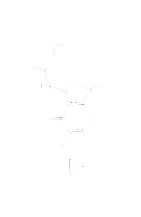 Cn1cc(NC(=O)OC(C)(C)C)c2c(=O)n(CC3CC3)ccc21